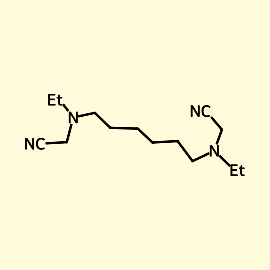 CCN(CC#N)CCCCCCN(CC)CC#N